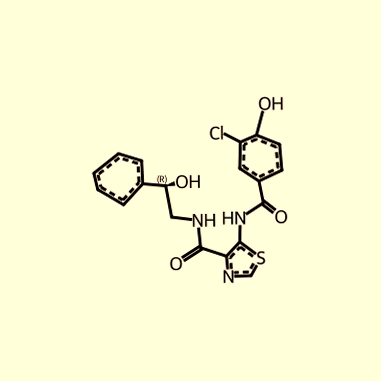 O=C(Nc1scnc1C(=O)NC[C@H](O)c1ccccc1)c1ccc(O)c(Cl)c1